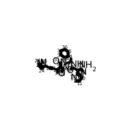 CC(NC(=O)c1c(N)nn2cccnc12)c1nc2occ(C#Cc3ccn(C)n3)c2c(=O)n1-c1ccccc1